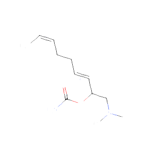 C/C=C\CC/C=C/C(CN(CC)CCC)OC(N)=O